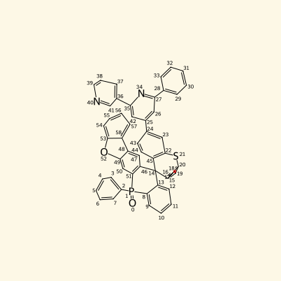 O=P1(c2ccccc2)c2ccccc2C2(c3ccccc3Sc3cc(-c4cc(-c5ccccc5)nc(-c5cccnc5)c4)ccc32)c2cc3c(cc21)oc1ccccc13